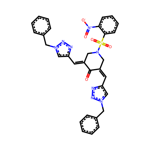 O=C1C(=Cc2cn(Cc3ccccc3)nn2)CN(S(=O)(=O)c2ccccc2[N+](=O)[O-])CC1=Cc1cn(Cc2ccccc2)nn1